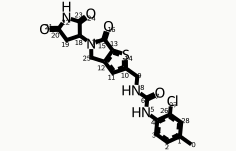 Cc1ccc(NC(=O)NCc2cc3c(s2)C(=O)N(C2CC(=O)NC2=O)C3)c(Cl)c1